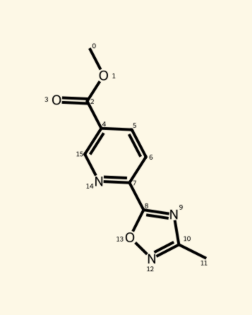 COC(=O)c1ccc(-c2nc(C)no2)nc1